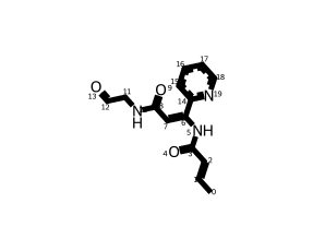 C/C=C/C(=O)NC(=CC(=O)NC[C]=O)c1ccccn1